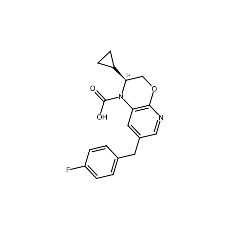 O=C(O)N1c2cc(Cc3ccc(F)cc3)cnc2OC[C@@H]1C1CC1